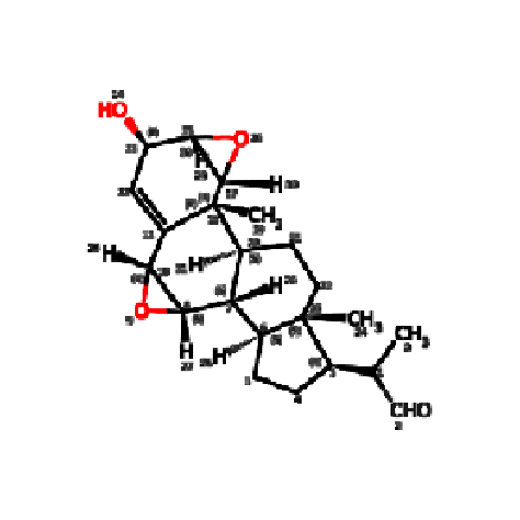 CC(C=O)[C@H]1CC[C@H]2[C@@H]3[C@@H]4O[C@@H]4C4=C[C@@H](O)[C@@H]5O[C@@H]5[C@]4(C)[C@H]3CC[C@]12C